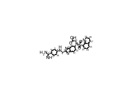 N=C(N)c1ccc(NCc2nc3cc(N(CC(=O)O)S(=O)(=O)c4cccc5cccnc45)ccc3s2)cc1